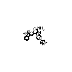 CCCCC(Cc1c[nH]c2ccccc12)c1c(C(N)=O)nc2n1CCN(c1cn(C)nn1)C2